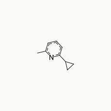 Cc1cccc(C2CC2)n1